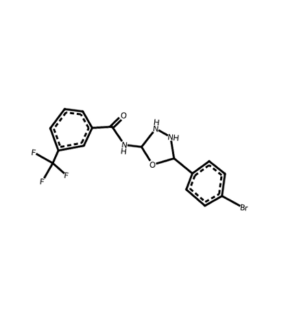 O=C(NC1NNC(c2ccc(Br)cc2)O1)c1cccc(C(F)(F)F)c1